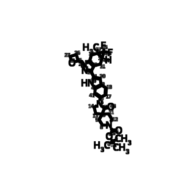 CC(C)(C)OC(=O)N1CCC2(CC1)CCN(c1ccc3cc(-c4nn(C5CCO5)c5c4C[C@@H]4C(F)(F)[C@]4(C)C5)[nH]c3c1)C2=O